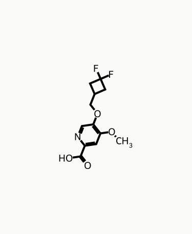 COc1cc(C(=O)O)ncc1OCC1CC(F)(F)C1